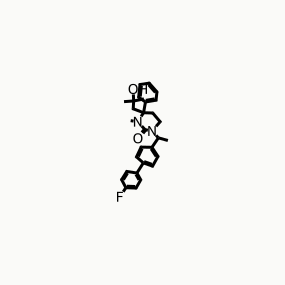 CC(c1ccc(-c2ccc(F)cc2)cc1)N1CCC(CC(C)(C)O)(c2ccccc2)N(C)C1=O